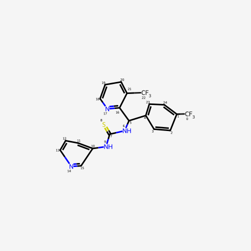 FC(F)(F)c1ccc(C(NC(=S)Nc2cccnc2)c2ncccc2C(F)(F)F)cc1